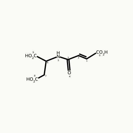 O=C(O)C=CC(=O)NC(CC(=O)O)C(=O)O